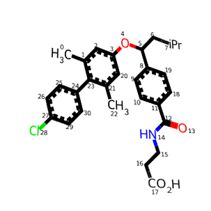 Cc1cc(OC(CC(C)C)c2ccc(C(=O)NCCC(=O)O)cc2)cc(C)c1-c1ccc(Cl)cc1